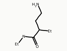 CC[N]C(=O)C(CC)CCN